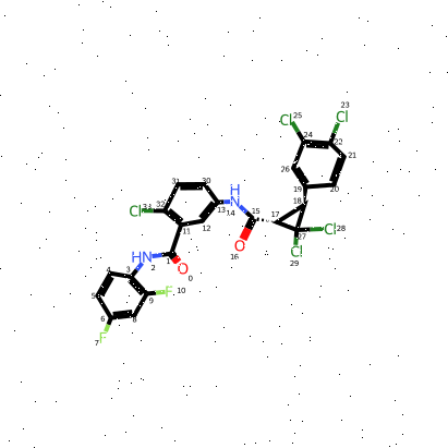 O=C(Nc1ccc(F)cc1F)c1cc(NC(=O)[C@@H]2[C@@H](c3ccc(Cl)c(Cl)c3)C2(Cl)Cl)ccc1Cl